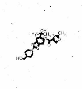 Cc1nc(C(=O)Nc2cc3sc(N4CCC(CO)CC4)nc3cc2C(C)(C)O)co1